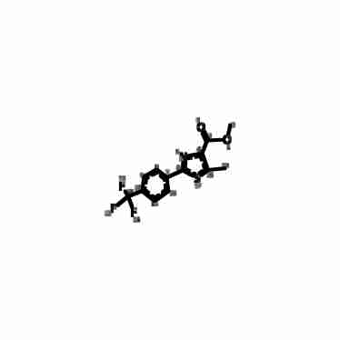 COC(=O)c1nc(-c2ccc(C(F)(F)F)cc2)sc1C